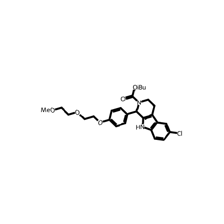 COCCOCCOc1ccc(C2c3[nH]c4ccc(Cl)cc4c3CCN2C(=O)OCC(C)C)cc1